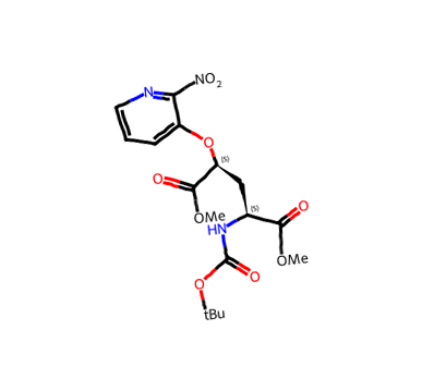 COC(=O)[C@H](C[C@H](Oc1cccnc1[N+](=O)[O-])C(=O)OC)NC(=O)OC(C)(C)C